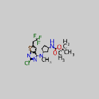 CN(c1nc(Cl)nc2sc(CC(F)(F)F)cc12)C1CCC(NC(=O)OC(C)(C)C)C1